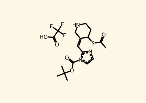 CC(=O)SC1CCNCC1=Cc1nccn1C(=O)OC(C)(C)C.O=C(O)C(F)(F)F